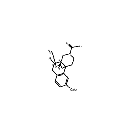 COc1ccc2c(c1)C13CCN(C(=O)C(C)C)C[C@H]1[C@@H](C2)N(C)CC3